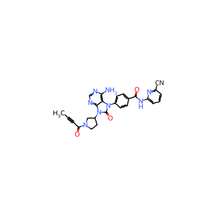 CC#CC(=O)N1CCC(n2c(=O)n(-c3ccc(C(=O)Nc4cccc(C#N)n4)cc3)c3c(N)ncnc32)C1